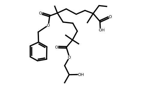 CCC(C)(CCCC(C)(CCCC(C)(C)C(=O)OCC(C)O)C(=O)OCc1ccccc1)C(=O)O